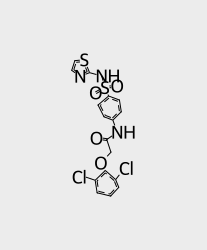 O=C(COc1c(Cl)cccc1Cl)Nc1ccc(S(=O)(=O)Nc2nccs2)cc1